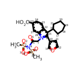 CS(=O)(=O)N(C(=O)Cn1c(-c2ccoc2)c(C2CCCCC2)c2ccc(C(=O)O)cc21)S(C)(=O)=O